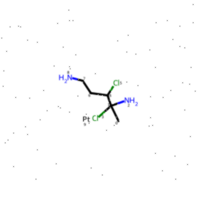 CC(N)(Cl)C(Cl)CCN.[Pt]